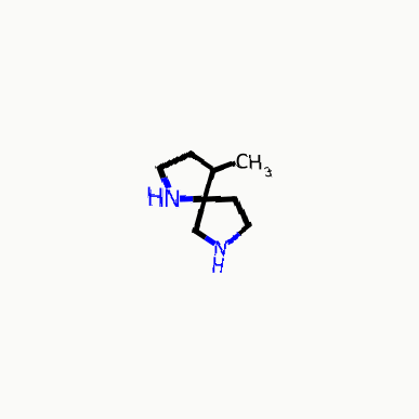 CC1CCNC12CCNC2